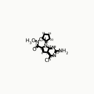 CN(C)C(=O)c1cc2c(Cl)nc(N)nc2n1C1CCCC1